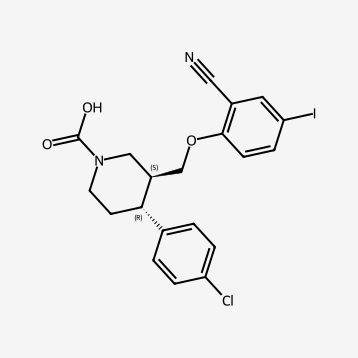 N#Cc1cc(I)ccc1OC[C@@H]1CN(C(=O)O)CC[C@H]1c1ccc(Cl)cc1